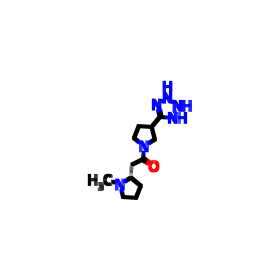 CN1CCC[C@H]1CC(=O)N1CCC(C2=NNNN2)C1